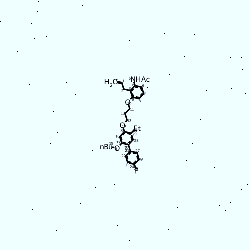 C=CCc1c(NC(C)=O)cccc1OCCCOc1cc(OCCCC)c(-c2ccc(F)cc2)cc1CC